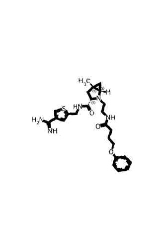 C[C@@]12C[C@@H]1N(CCNC(=O)CCCOc1ccccc1)[C@H](C(=O)NCc1cc(C(=N)N)cs1)C2